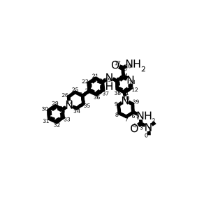 CN(C)C(=O)NC1CCCN(c2cnc(C(N)=O)c(Nc3ccc(C4CCN(c5ccccc5)CC4)cc3)c2)C1